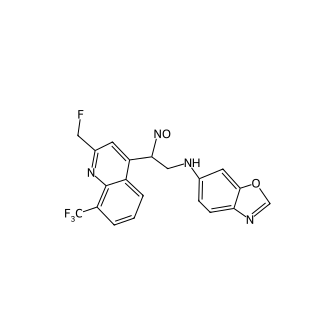 O=NC(CNc1ccc2ncoc2c1)c1cc(CF)nc2c(C(F)(F)F)cccc12